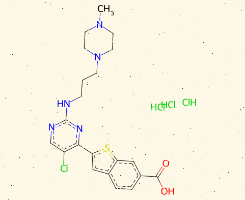 CN1CCN(CCCNc2ncc(Cl)c(-c3cc4ccc(C(=O)O)cc4s3)n2)CC1.Cl.Cl.Cl